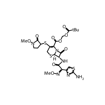 CO/N=C(\C(=O)N[C@@H]1C(=O)N2C(C(=O)OCOC(=O)C(C)(C)C)=C(SC3CCN(OC)C3=O)CS[C@H]12)c1csc(N)n1